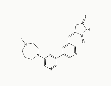 CN1CCCN(c2cncc(-c3cncc(C=C4SC(=S)NC4=O)c3)n2)CC1